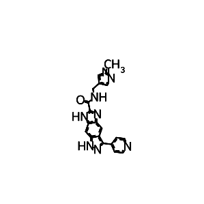 Cn1cc(CNC(=O)c2nc3cc4c(-c5ccncc5)n[nH]c4cc3[nH]2)cn1